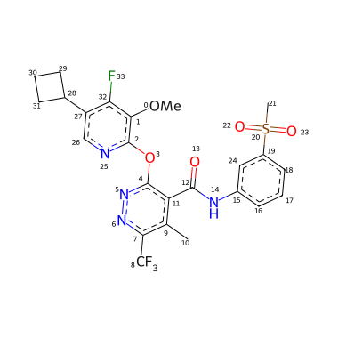 COc1c(Oc2nnc(C(F)(F)F)c(C)c2C(=O)Nc2cccc(S(C)(=O)=O)c2)ncc(C2CCC2)c1F